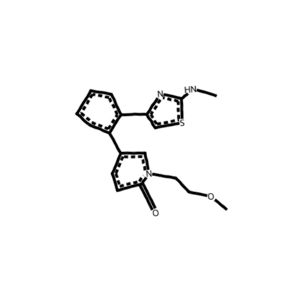 CNc1nc(-c2ccccc2-c2ccc(=O)n(CCOC)c2)cs1